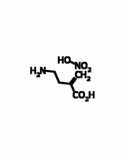 C=C(CCN)C(=O)O.O=[N+]([O-])O